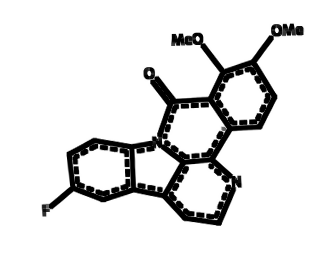 COc1ccc2c(c1OC)c(=O)n1c3ccc(F)cc3c3ccnc2c31